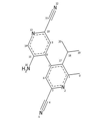 Cc1nc(C#N)cc(-c2cc(C#N)ncc2N)c1C(C)C